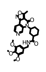 COc1cc(CNC(=O)C2CCCC(n3c(=O)c4c(C)onc4c4ccncc43)C2)cc(OC)c1OC